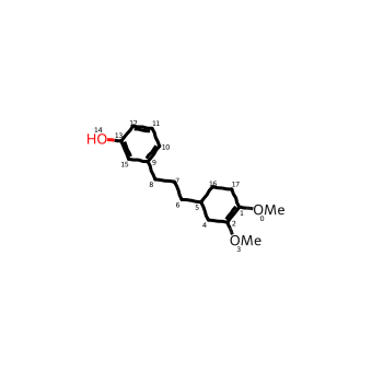 COC1=C(OC)CC(CCCc2cccc(O)c2)CC1